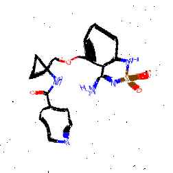 NC1=NS(=O)(=O)Nc2cccc(OCC3(NC(=O)c4ccncc4)CC3)c21